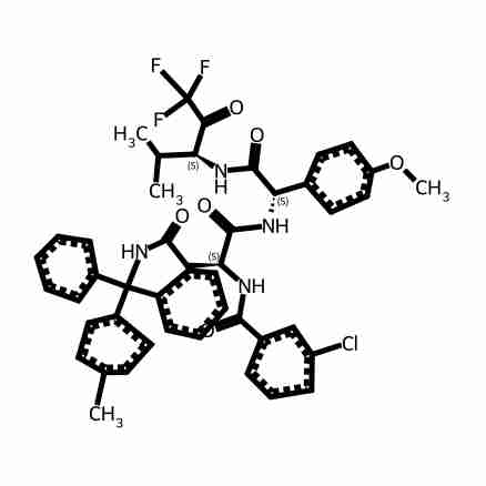 COc1ccc([C@H](NC(=O)[C@H](CC(=O)NC(c2ccccc2)(c2ccccc2)c2ccc(C)cc2)NC(=O)c2cccc(Cl)c2)C(=O)N[C@H](C(=O)C(F)(F)F)C(C)C)cc1